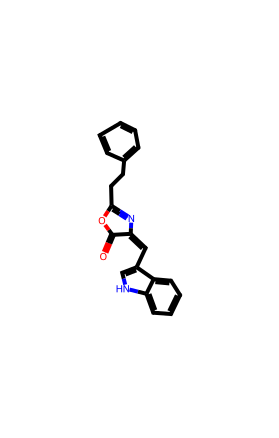 O=C1OC(CCc2ccccc2)=N/C1=C/c1c[nH]c2ccccc12